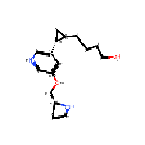 OCCCC[C@@H]1C[C@H]1c1cncc(OC[C@@H]2CCN2)c1